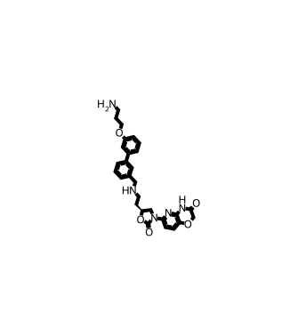 NCCCOc1cccc(-c2cccc(CNCC[C@H]3CN(c4ccc5c(n4)NC(=O)CO5)C(=O)O3)c2)c1